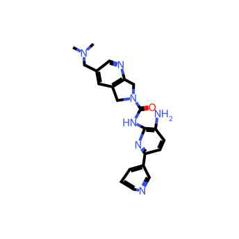 CN(C)Cc1cnc2c(c1)CN(C(=O)Nc1nc(-c3cccnc3)ccc1N)C2